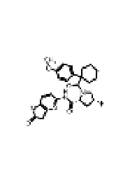 COc1ccc(C2(C(=O)N3C[C@H](F)C[C@@H]3C(=O)Nc3ccc4c(n3)CC(=O)N4)CCCCC2)cc1